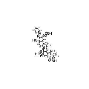 Cc1c(S(=O)(=O)O)cc2cc(S(=O)(=O)O)c(N=Nc3ccc4c(O)c(N=Nc5ccccc5)c(SOOO)cc4c3C)c(O)c2c1N